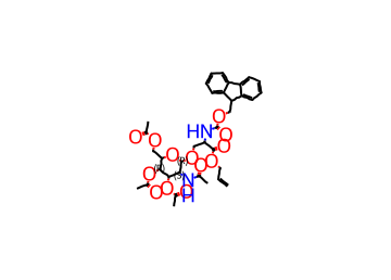 C=CCOC(=O)C(CO[C@@H]1OC(COC(C)=O)[C@H](OC(C)=O)C(OC(C)=O)[C@@H]1NC(C)=O)NC(=O)OCC1c2ccccc2-c2ccccc21